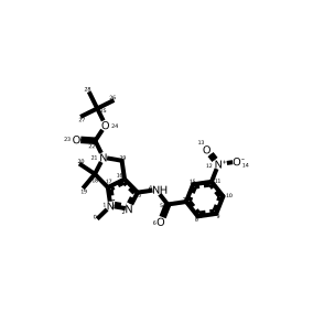 Cn1nc(NC(=O)c2cccc([N+](=O)[O-])c2)c2c1C(C)(C)N(C(=O)OC(C)(C)C)C2